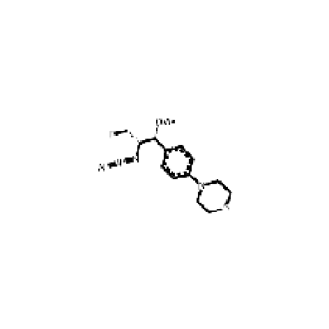 CO[C@H](c1ccc(N2CCOCC2)cc1)[C@@H](CF)N=[N+]=[N-]